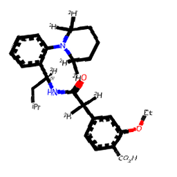 [2H]C([2H])(C(=O)N[C@@]([2H])(CC(C)C)c1ccccc1N1C([2H])([2H])CCCC1([2H])[2H])c1ccc(C(=O)O)c(OCC)c1